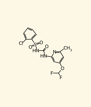 Cc1cc(OC(F)F)cc(NC(=O)NS(=O)(=O)c2ccccc2Cl)n1